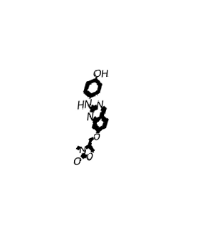 CN1C(=O)OCC1COc1ccc2cnc(N[C@H]3CC[C@H](O)CC3)nc2c1